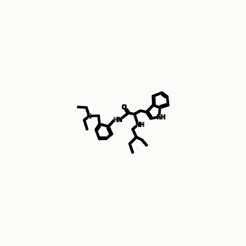 CCC(CC)CNC(Cc1c[nH]c2ccccc12)C(=O)NCc1ccccc1CN(CC)CC